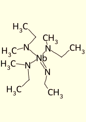 CC[N]=[Nb]([N](C)CC)([N](C)CC)[N](C)CC